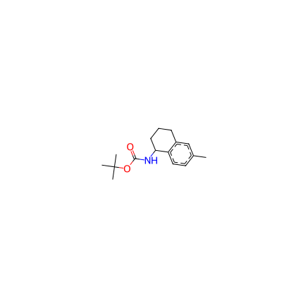 Cc1ccc2c(c1)CCCC2NC(=O)OC(C)(C)C